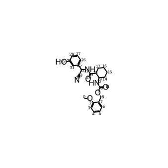 COc1ccccc1COC(=O)NC1CCCCC1C(=O)NC(C#N)c1cccc(O)c1